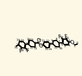 CCOc1ccc(C2CCC(c3ccc(OC(=O)C4CC=C(c5ccc(C)c(F)c5F)CC4)cc3)CC2)c(F)c1F